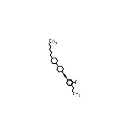 CCCCCCC1CCC(C2CCC(C#Cc3ccc(CCC)c(F)c3)CC2)CC1